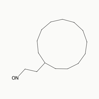 O=NCCC1CCCCCCCCCCCC1